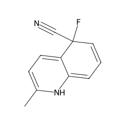 CC1=CC=C2C(=CC=CC2(F)C#N)N1